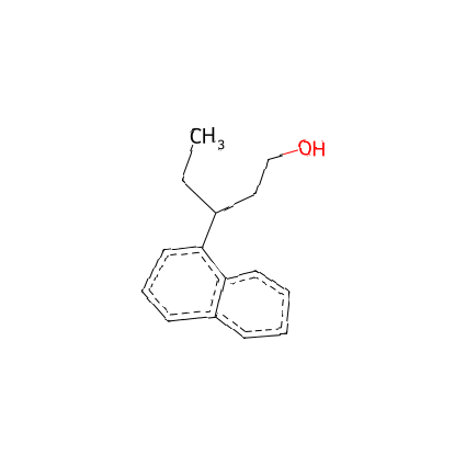 CCC(CCO)c1cccc2ccccc12